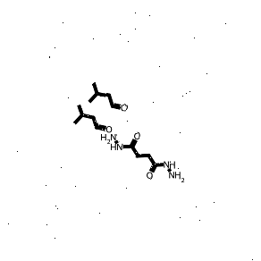 CC(C)CC=O.CC(C)CC=O.NNC(=O)CCC(=O)NN